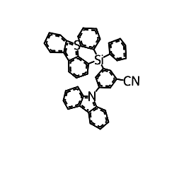 N#Cc1cc(-n2c3ccccc3c3ccccc32)cc([Si](c2ccccc2)(c2ccccc2)c2cccc3c2sc2ccccc23)c1